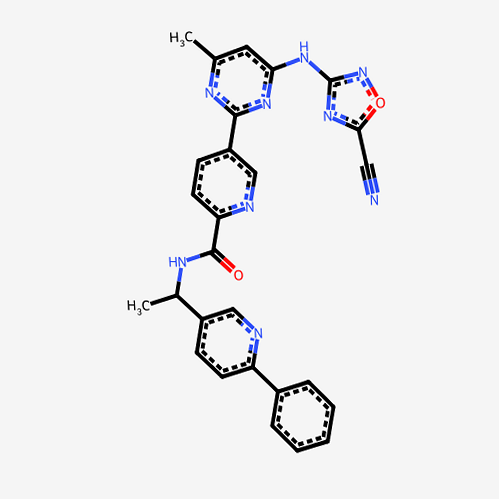 Cc1cc(Nc2noc(C#N)n2)nc(-c2ccc(C(=O)NC(C)c3ccc(-c4ccccc4)nc3)nc2)n1